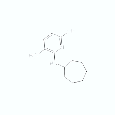 Nc1ccc(O)nc1NC1CCCCCC1